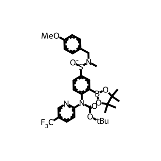 COc1ccc(CN(C)[S+]([O-])c2ccc(N(C(=O)OC(C)(C)C)c3ccc(C(F)(F)F)cn3)c(B3OC(C)(C)C(C)(C)O3)c2)cc1